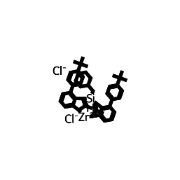 CC1=C2c3c(-c4ccc(C(C)(C)C)cc4)cccc3[CH]1[Zr+2][CH]1C(C)=C(c3c(-c4ccc(C(C)(C)C)cc4)cccc31)[SiH]2CC1CCCCC1.[Cl-].[Cl-]